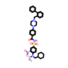 CN(CC1CCCCC1)c1ccc(S(=O)(=O)NC(=O)c2ccc(N3CCN(Cc4ccccc4-c4ccccc4)CC3)cc2)cc1[N+](=O)[O-]